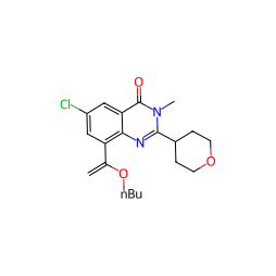 C=C(OCCCC)c1cc(Cl)cc2c(=O)n(C)c(C3CCOCC3)nc12